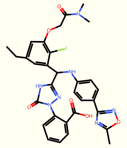 CCc1cc(OCC(=O)N(C)C)c(F)c(C(Nc2ccc(-c3noc(C)n3)cc2)c2nn(-c3ccccc3C(=O)O)c(=O)[nH]2)c1